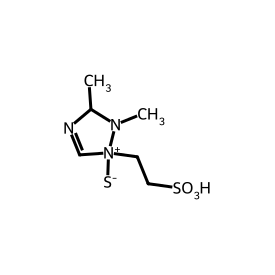 CC1N=C[N+]([S-])(CCS(=O)(=O)O)N1C